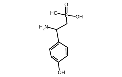 NC(CP(=O)(O)O)c1ccc(O)cc1